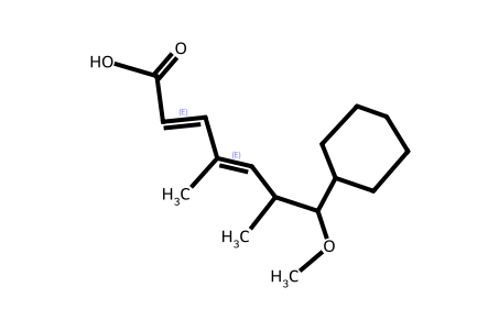 COC(C(C)/C=C(C)/C=C/C(=O)O)C1CCCCC1